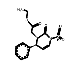 CCOC(=O)C[C@H]1C(=O)N([SH](=O)=O)C=C[C@H]1c1ccccc1